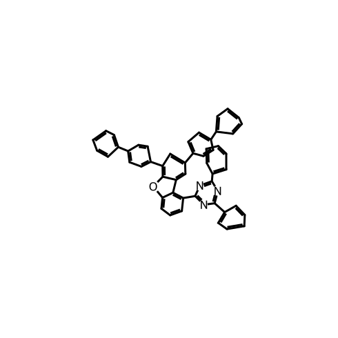 c1ccc(-c2ccc(-c3cc(-c4ccc(-c5ccccc5)cc4)c4oc5cccc(-c6nc(-c7ccccc7)nc(-c7ccccc7)n6)c5c4c3)cc2)cc1